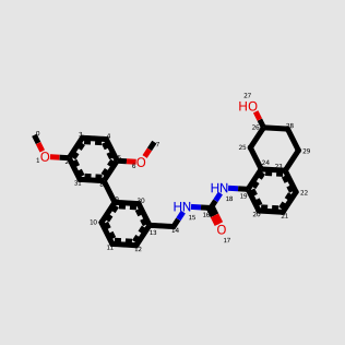 COc1ccc(OC)c(-c2cccc(CNC(=O)Nc3cccc4c3CC(O)CC4)c2)c1